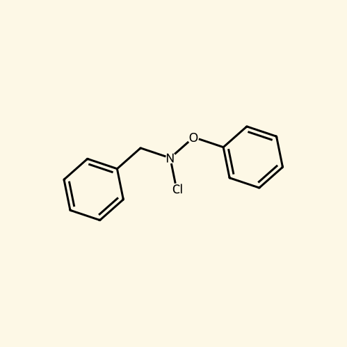 ClN(Cc1ccccc1)Oc1ccccc1